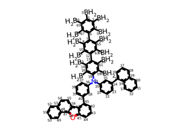 Bc1c(B)c(B)c(-c2c(B)c(B)c(-c3c(B)c(B)c(N(c4cccc(-c5cccc6ccccc56)c4)c4cccc(-c5cccc6oc7c8ccccc8ccc7c56)c4)c(B)c3B)c(B)c2B)c(B)c1B